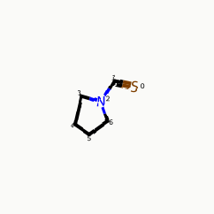 S=[C]N1CCCC1